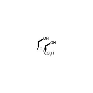 O=C(O)CO.O=C(O)CO